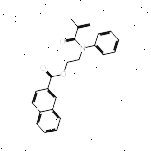 C=C(C)C(=O)N(CCOC(=O)c1ccc2ccccc2c1)c1ccccc1